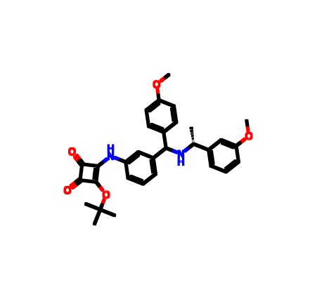 COc1ccc(C(N[C@H](C)c2cccc(OC)c2)c2cccc(Nc3c(OC(C)(C)C)c(=O)c3=O)c2)cc1